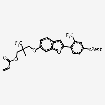 C=CC(=O)OCC(C)(COc1ccc2cc(-c3ccc(CCCCC)cc3C(F)(F)F)oc2c1)C(F)(F)F